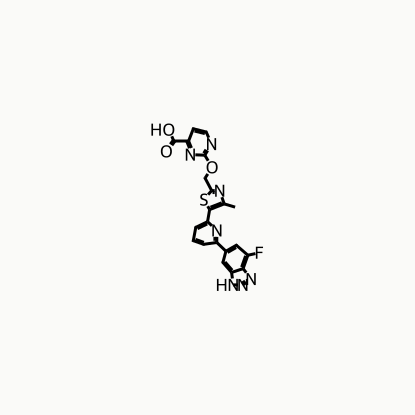 Cc1nc(COc2nccc(C(=O)O)n2)sc1-c1cccc(-c2cc(F)c3nn[nH]c3c2)n1